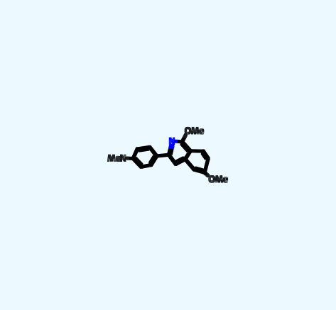 CNc1ccc(-c2cc3cc(OC)ccc3c(OC)n2)cc1